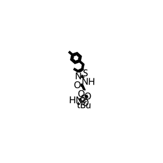 Cc1ccc(Cc2sc(NC(=O)COS(=O)(=O)NC(C)(C)C)nc2C)cc1